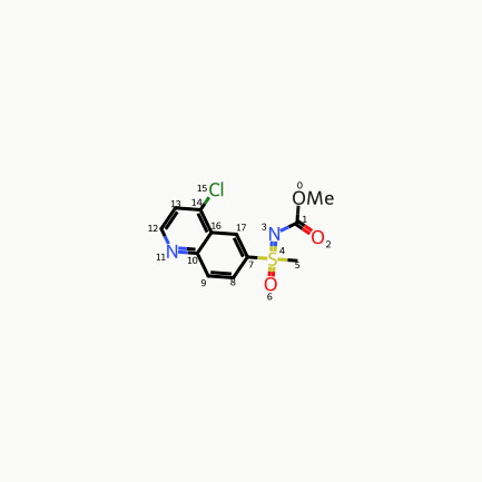 COC(=O)N=S(C)(=O)c1ccc2nccc(Cl)c2c1